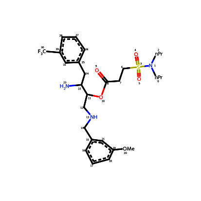 CCCN(CCC)S(=O)(=O)CCC(=O)OC(CNCc1cccc(OC)c1)C(N)Cc1cccc(C(F)(F)F)c1